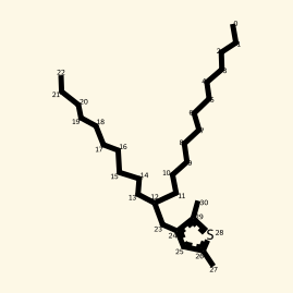 CCCCCCCCCCCCC(CCCCCCCCCC)Cc1cc(C)sc1C